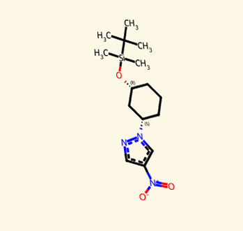 CC(C)(C)[Si](C)(C)O[C@@H]1CCC[C@H](n2cc([N+](=O)[O-])cn2)C1